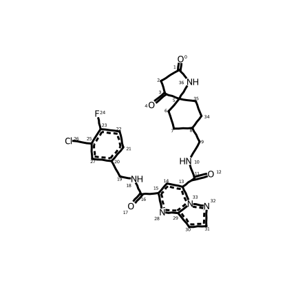 O=C1CC(=O)C2(CCC(CNC(=O)c3cc(C(=O)NCc4ccc(F)c(Cl)c4)nc4ccnn34)CC2)N1